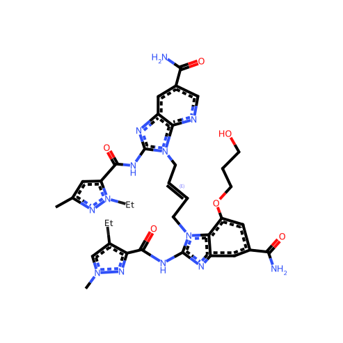 CCc1cn(C)nc1C(=O)Nc1nc2cc(C(N)=O)cc(OCCCO)c2n1C/C=C/Cn1c(NC(=O)c2cc(C)nn2CC)nc2cc(C(N)=O)cnc21